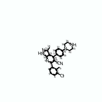 Cc1c(Cl)cccc1-c1nc2[nH]nc(C)c2c(-c2ccc(N3CCNCC3)cc2)c1C#N